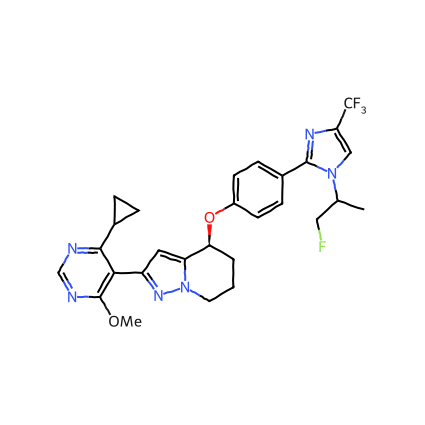 COc1ncnc(C2CC2)c1-c1cc2n(n1)CCC[C@@H]2Oc1ccc(-c2nc(C(F)(F)F)cn2C(C)CF)cc1